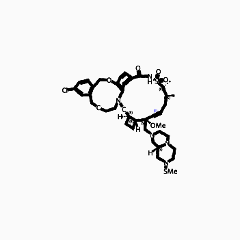 CO[C@]1(CN2CCN3CCN(SC)C[C@@H]3C2)/C=C/C[C@H](C)[C@@H](C)S(=O)(=O)NC(=O)c2ccc3c(c2)N(CCCCc2cc(Cl)ccc2CO3)C[C@@H]2CC[C@H]21